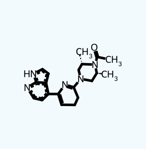 CC(=O)N1[C@H](C)CN(C2=NC(c3ccnc4[nH]ccc34)=CCC2)C[C@@H]1C